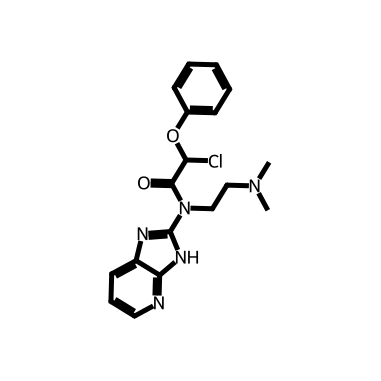 CN(C)CCN(C(=O)C(Cl)Oc1ccccc1)c1nc2cccnc2[nH]1